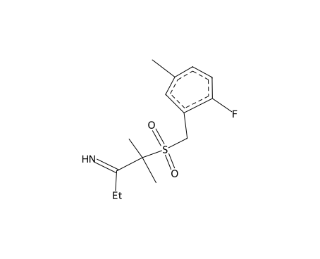 CCC(=N)C(C)(C)S(=O)(=O)Cc1cc(C)ccc1F